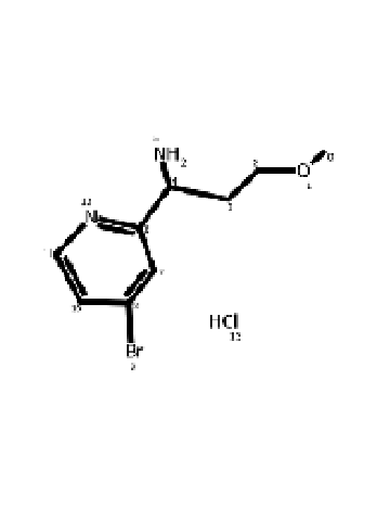 COCCC(N)c1cc(Br)ccn1.Cl